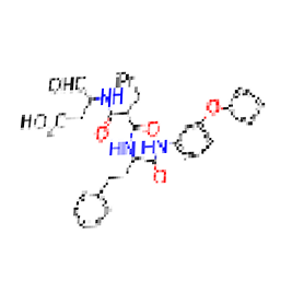 CC(C)CC(C(=O)NC(C=O)CC(=O)O)C(=O)NC(CCc1ccccc1)C(=O)Nc1cccc(Oc2ccccc2)c1